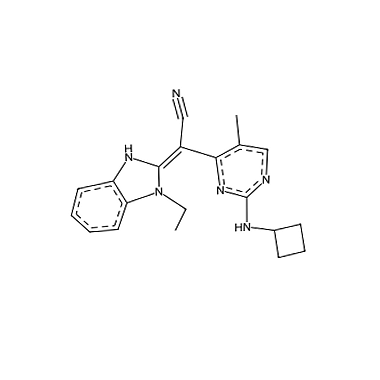 CCN1C(=C(C#N)c2nc(NC3CCC3)ncc2C)Nc2ccccc21